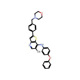 N#Cc1cnc2cc(-c3ccc(CN4CCOCC4)cc3)sc2c1Nc1ccc(Oc2ccccc2)cc1